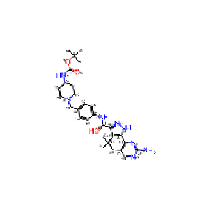 CC(C)(C)OC(=O)NC1CCN(Cc2ccc(NC(O)c3n[nH]c4c3C(C)(C)Cc3cnc(N)nc3-4)cc2)CC1